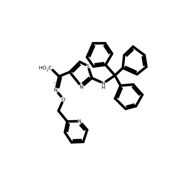 O=C(O)/C(=N/OCc1ccccn1)c1csc(NC(c2ccccc2)(c2ccccc2)c2ccccc2)n1